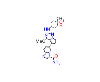 COc1nc(NC2CCC(C)(O)CC2)nn2ccc(-c3ccc4ncc(C(N)=O)n4c3)c12